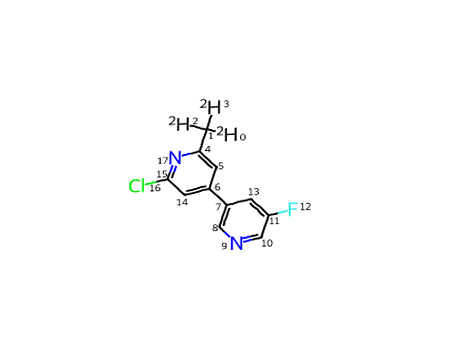 [2H]C([2H])([2H])c1cc(-c2cncc(F)c2)cc(Cl)n1